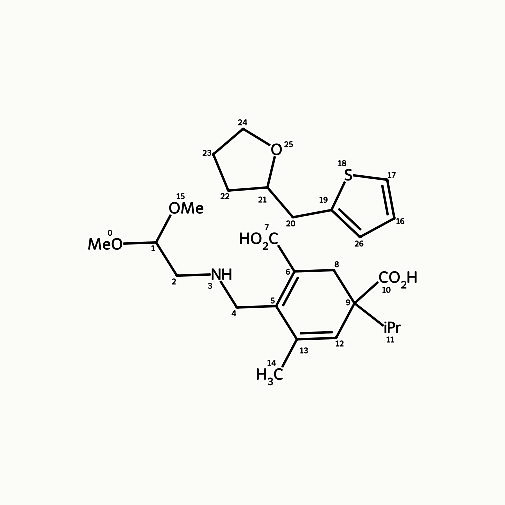 COC(CNCC1=C(C(=O)O)CC(C(=O)O)(C(C)C)C=C1C)OC.c1csc(CC2CCCO2)c1